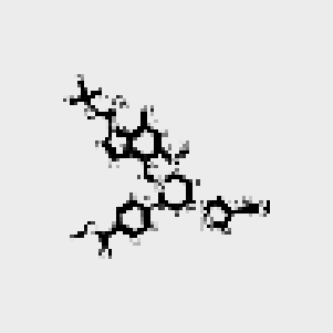 COC(=O)c1ccc([C@@H]2C[C@@H](n3cc(C#N)cn3)CCN2Cc2c(OC)cc(C)c3c2ccn3C(=O)OC(C)(C)C)cc1